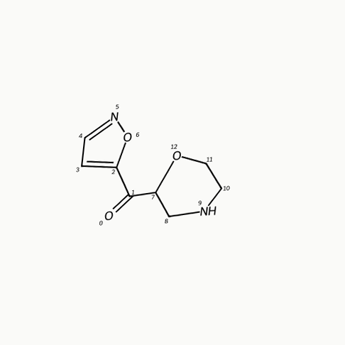 O=C(c1ccno1)C1CNCCO1